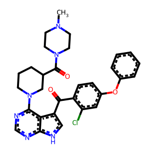 CN1CCN(C(=O)C2CCCN(c3ncnc4[nH]cc(C(=O)c5ccc(Oc6ccccc6)cc5Cl)c34)C2)CC1